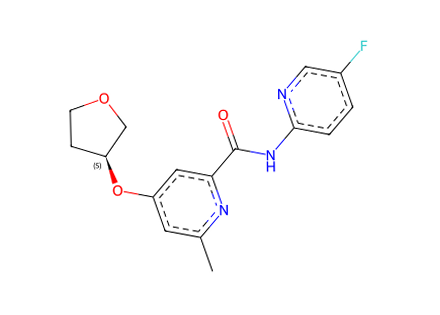 Cc1cc(O[C@H]2CCOC2)cc(C(=O)Nc2ccc(F)cn2)n1